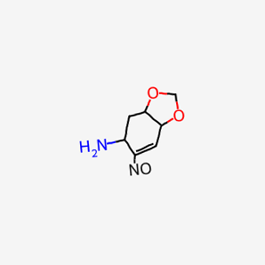 NC1CC2OCOC2C=C1N=O